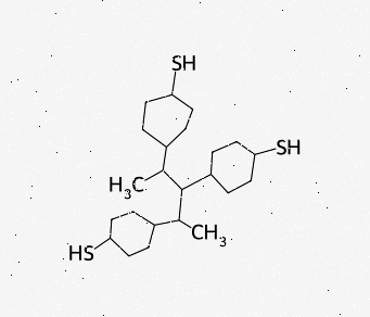 CC(C1CCC(S)CC1)C(C1CCC(S)CC1)C(C)C1CCC(S)CC1